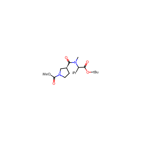 COC(=O)N1CC[C@H](C(=O)N(C)C(C(=O)OC(C)(C)C)C(C)C)C1